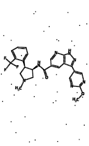 COc1ncc(-c2n[nH]c3ncc(C(=O)N[C@H]4CN(C)C[C@H]4c4ccccc4C(F)(F)F)cc23)cn1